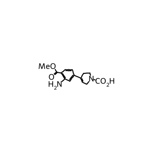 COC(=O)c1ccc(C2=CCN(C(=O)O)CC2)cc1N